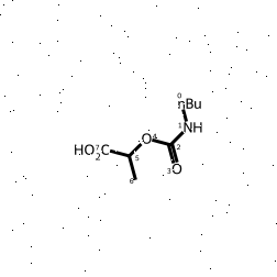 CCCCNC(=O)OC(C)C(=O)O